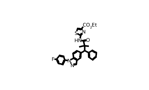 CCOC(=O)c1csc(NC(=O)C(C)(C)C(c2ccccc2)c2ccc3c(cnn3-c3ccc(F)cc3)c2)n1